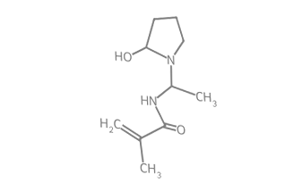 C=C(C)C(=O)NC(C)N1CCCC1O